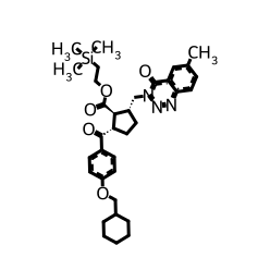 Cc1ccc2nnn(C[C@@H]3CC[C@H](C(=O)c4ccc(OCC5CCCCC5)cc4)[C@H]3C(=O)OCC[Si](C)(C)C)c(=O)c2c1